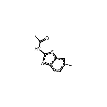 CC(=O)Nc1nc2ccc(C)cc2s1